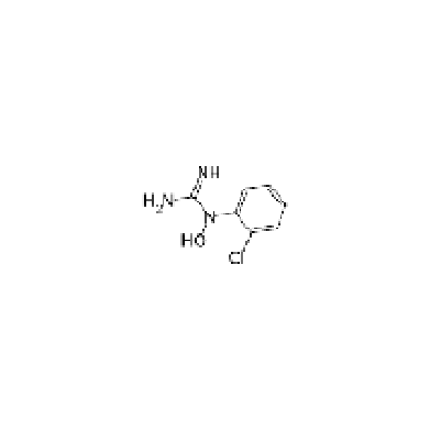 N=C(N)N(O)c1ccccc1Cl